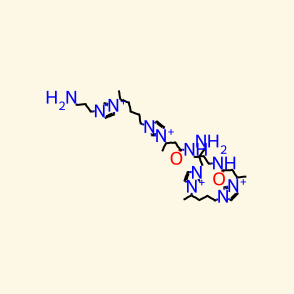 CC(CCCCn1cc[n+](C(C)CC(=O)NCCCNC(=O)CC(C)[n+]2ccn(CCCC(C)[n+]3ccn(CCCN)c3)c2)c1)[n+]1ccn(CCCN)c1